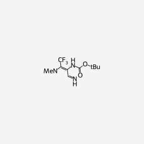 CN/C(=C(\C=N)NC(=O)OC(C)(C)C)C(F)(F)F